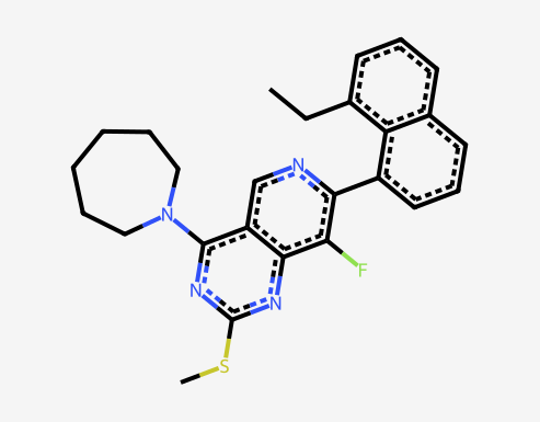 CCc1cccc2cccc(-c3ncc4c(N5CCCCCC5)nc(SC)nc4c3F)c12